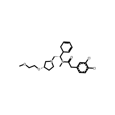 COCCO[C@H]1CCN(C[C@H](C2C=CC=CC2)N(C)C(=O)Cc2ccc(Cl)c(Cl)c2)C1